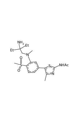 CCC(N)(CC)CN(C)c1cc(-c2sc(NC(C)=O)nc2C)ccc1S(C)(=O)=O